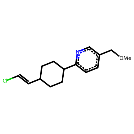 COCc1ccc(C2CCC(/C=C/Cl)CC2)nc1